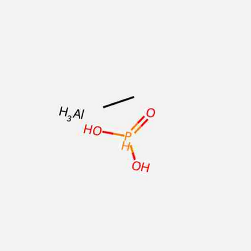 CC.O=[PH](O)O.[AlH3]